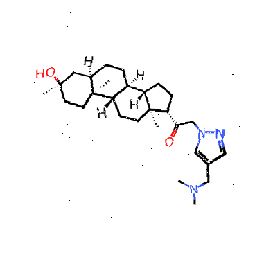 CN(C)Cc1cnn(CC(=O)[C@H]2CC[C@H]3[C@@H]4CC[C@@H]5C[C@](C)(O)CC[C@]5(C)[C@H]4CC[C@]23C)c1